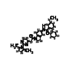 CCc1ccc(-c2ccccc2)c(C(=O)Nc2ccc3c(c2)CCN3C(=O)Cc2ccnc(-n3c(C)ccc3C)n2)c1